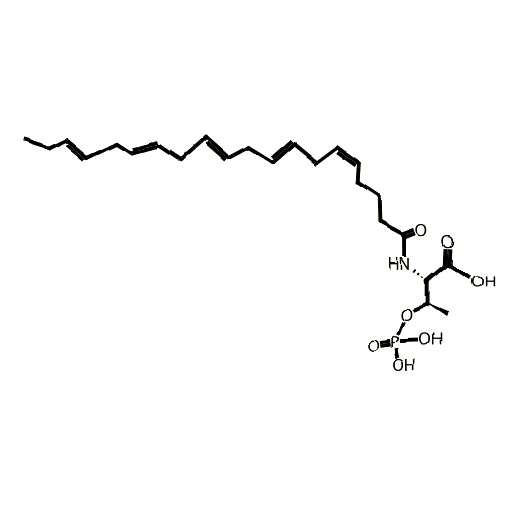 CCC=CCC=CCC=CCC=CC/C=C\CCCC(=O)N[C@H](C(=O)O)[C@@H](C)OP(=O)(O)O